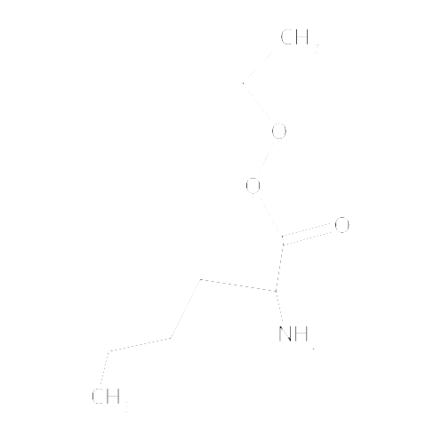 CCCCC(N)C(=O)OOCC